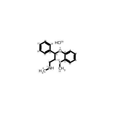 CNCCC(Oc1ccccc1SC)c1ccccc1.Cl